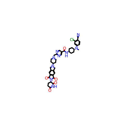 CN(c1ccc(C#N)c(Cl)c1)[C@H]1CC[C@H](NC(=O)c2cnc(CN3CCC(N4Cc5cc6c(cc5C4)C(=O)N(C4CCC(=O)NC4=O)C6=O)CC3)nc2)CC1